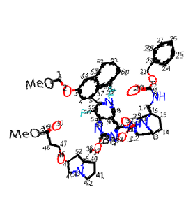 COCOc1cc(-c2ncc3c(N4CC5CCC(CNC(=O)OCc6ccccc6)(C4)N5C(=O)OC(C)(C)C)nc(OC[C@]45CCCN4C[C@H](OCCC(=O)OC)C5)nc3c2F)c2c(F)cccc2c1